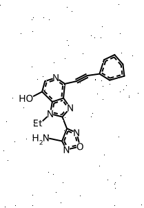 CCn1c(-c2nonc2N)nc2c(C#Cc3ccccc3)ncc(O)c21